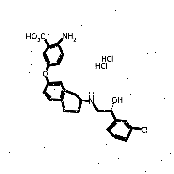 Cl.Cl.Nc1ccc(Oc2ccc3c(c2)C[C@@H](NC[C@H](O)c2cccc(Cl)c2)CC3)cc1C(=O)O